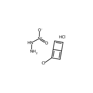 Cl.Clc1cc2ccc1-2.NN[N+](=O)[O-]